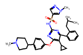 CC(C)Cc1ccccc1-c1nc(NS(=O)(=O)c2cnn(C)c2)nc(Oc2ccc(C3CCN(C)CC3)cc2)c1C1CC1